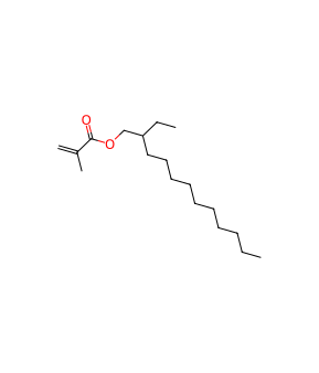 C=C(C)C(=O)OCC(CC)CCCCCCCCCC